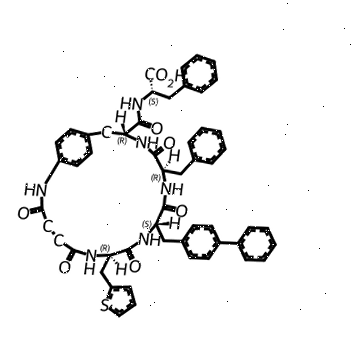 O=C1CCC(=O)N[C@H](Cc2cccs2)C(=O)N[C@@H](Cc2ccc(-c3ccccc3)cc2)C(=O)N[C@H](Cc2ccccc2)C(=O)N[C@@H](C(=O)N[C@@H](Cc2ccccc2)C(=O)O)Cc2ccc(cc2)N1